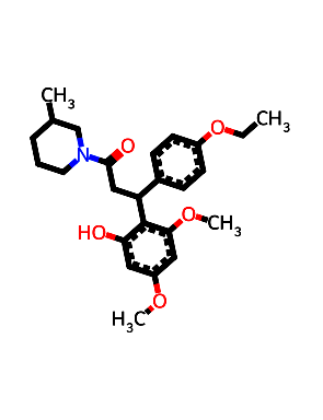 CCOc1ccc(C(CC(=O)N2CCCC(C)C2)c2c(O)cc(OC)cc2OC)cc1